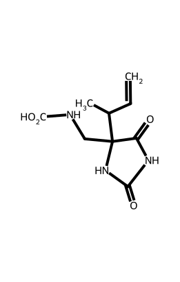 C=CC(C)C1(CNC(=O)O)NC(=O)NC1=O